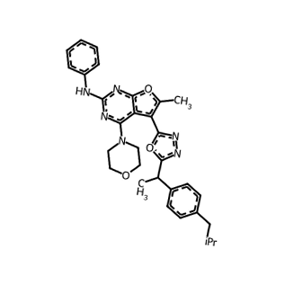 Cc1oc2nc(Nc3ccccc3)nc(N3CCOCC3)c2c1-c1nnc(C(C)c2ccc(CC(C)C)cc2)o1